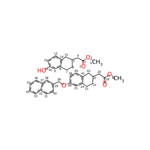 COC(=O)CC1CCc2cc(O)ccc2C1.COC(=O)CC1CCc2cc(OCc3ccc4ccccc4c3)ccc2C1